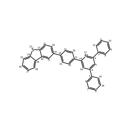 c1ccc(-c2cc(-c3ccccc3)nc(-c3ccc(-c4ccc5sc6ccccc6c5c4)cc3)c2)cc1